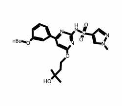 CCCCOc1cccc(-c2cc(OCCC(C)(C)O)nc(NS(=O)(=O)c3cnn(C)c3)n2)c1